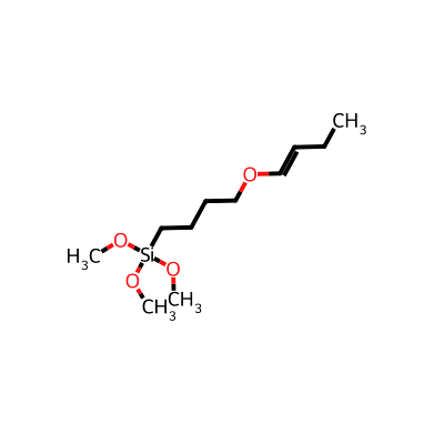 CCC=COCCCC[Si](OC)(OC)OC